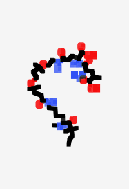 CCCC(C)(C)C(=O)[C@@H](CCCCNC(=O)CCC(C)(C)OCCC(C)(C)OCCNC(=O)CC[C@H](NC(=O)C(N)CC(C)C(=O)O)C(=O)O)NC